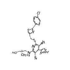 N#Cc1c(NC[C@H](O)CO)nc(SCc2csc(-c3ccc(Cl)cc3)n2)c(C#N)c1-c1cc[nH]n1